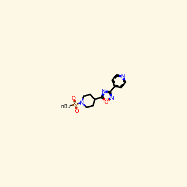 CCCCS(=O)(=O)N1CCC(c2nc(-c3ccncc3)no2)CC1